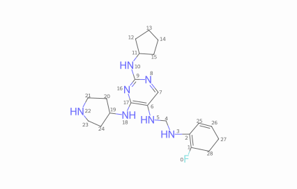 FC1=C(NCNc2cnc(NC3CCCC3)nc2NC2CCNCC2)C=CCC1